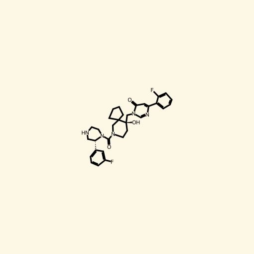 O=C(N1CC[C@@](O)(Cn2cnc(-c3ccccc3F)cc2=O)C2(CCCC2)C1)N1CCNC[C@H]1c1cccc(F)c1